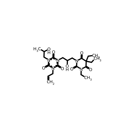 C=CCn1c(=O)n(CC(C)O)c(=O)n(CC(O)CN2C(=O)N(CC)C(=O)C(CC)(CC)C2=O)c1=O